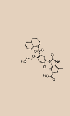 Cc1cc(C(=O)O)nc2c1[nH]c(=O)n2-c1cc(S(=O)(=O)N2CCCCc3ccccc32)c(OCCO)cc1Cl